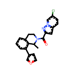 CC1c2c(cccc2-c2ccoc2)CCN1C(=O)c1cc2ccc(Cl)cn2n1